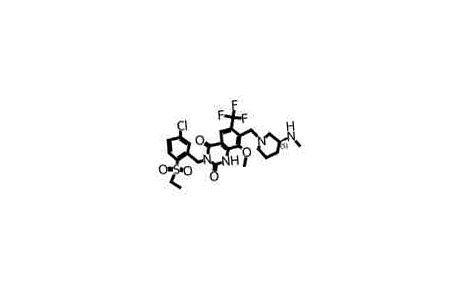 CCS(=O)(=O)c1ccc(Cl)cc1Cn1c(=O)[nH]c2c(OC)c(CN3CCC[C@H](NC)C3)c(C(F)(F)F)cc2c1=O